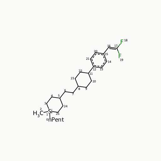 CCCCC[Si]1(C)CCC(CCC2CCC(c3ccc(C=C(F)F)cc3)CC2)CC1